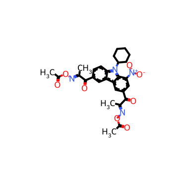 CC(=O)O/N=C(\C)C(=O)c1ccc2c(c1)c1cc(C(=O)/C(C)=N/OC(C)=O)cc([N+](=O)[O-])c1n2C1CCCCC1